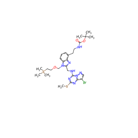 CSc1nc(NCc2nc3c(CCNC(=O)OC(C)(C)C)cccc3n2COCCS(C)(C)C)n2ncc(Br)c2n1